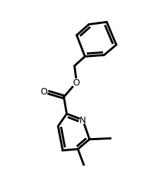 Cc1ccc(C(=O)OCc2ccccc2)nc1C